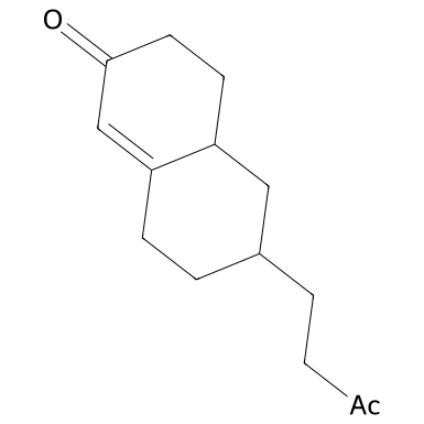 CC(=O)CCC1CCC2=CC(=O)CCC2C1